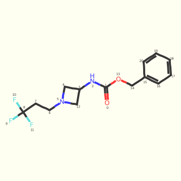 O=C(NC1CN(CCC(F)(F)F)C1)OCc1ccccc1